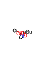 CCCCOC(=O)N1CCCCC1C(=O)OCc1ccccc1